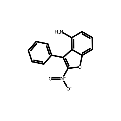 Nc1cccc2oc([N+](=O)[O-])c(-c3ccccc3)c12